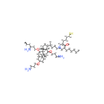 C=CCC(N)CCO[C@@H]1CC2C[C@H](OCCCN)CCC2(C)[C@H]2C[C@H](OCCCN)C3(C)C(C(C)CCCN(CCCCCCCC)CC(C=O)CCCCS)CC[C@H]3C12